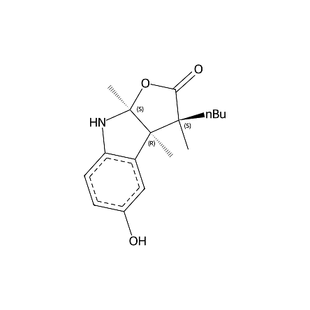 CCCC[C@]1(C)C(=O)O[C@]2(C)Nc3ccc(O)cc3[C@@]21C